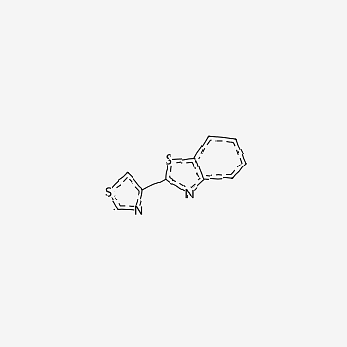 [c]1nc(-c2nc3ccccc3s2)cs1